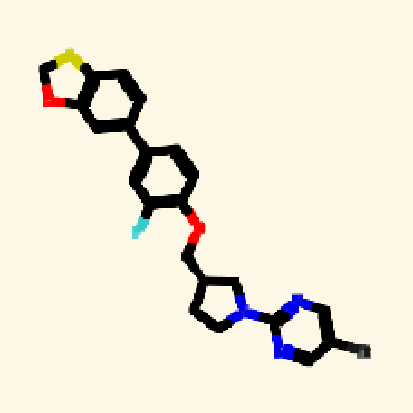 CCc1cnc(N2CC[C@@H](COc3ccc(-c4ccc5c(c4)OCS5)cc3F)C2)nc1